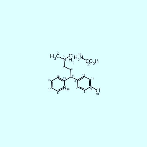 CN(C)CCC(c1ccc(Cl)cc1)c1ccccn1.NC(=O)O